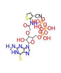 N#Cc1ccsc1NC(=O)COC1C(COP(=O)(O)OP(=O)(O)OP(=O)(O)O)OC(n2cnc3c(=S)[nH]c(N)nc32)C1O